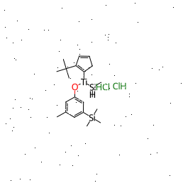 Cc1cc([O][Ti]([C]2=C(C(C)(C)C)C=CC2)[SiH](C)C)cc([Si](C)(C)C)c1.Cl.Cl